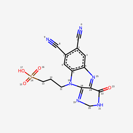 N#Cc1cc2c(cc1C#N)N(CCCS(=O)(=O)O)C1=NCNC(=O)C1=N2